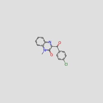 Cn1c(=O)c(C(=O)c2ccc(Cl)cc2)nc2ccccc21